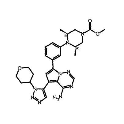 COC(=O)N1C[C@@H](C)N(c2cccc(-c3cc(-c4cnnn4C4CCOCC4)c4c(N)ncnn34)c2)[C@@H](C)C1